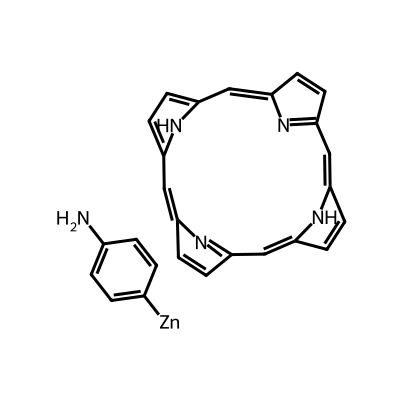 C1=Cc2cc3ccc(cc4nc(cc5ccc(cc1n2)[nH]5)C=C4)[nH]3.Nc1cc[c]([Zn])cc1